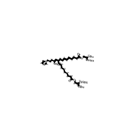 CCCCCCCCC/C(=C\C(CCCCCCCCC(=O)OCC(CCCC)CCCCCC)CCCCCCCCC(=O)OCC(CCCC)CCCCCC)CCCn1ccnc1